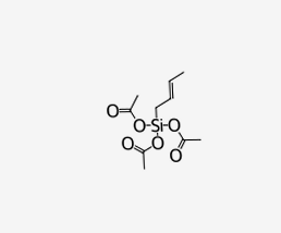 CC=CC[Si](OC(C)=O)(OC(C)=O)OC(C)=O